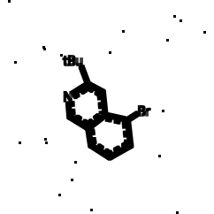 CC(C)(C)c1cc2c(Br)cccc2cn1